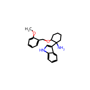 COc1ccccc1COC1CCCCC1(N)c1c[nH]c2ccccc12